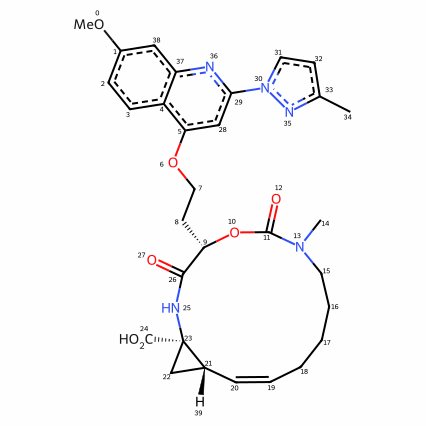 COc1ccc2c(OCC[C@@H]3OC(=O)N(C)CCCC/C=C\[C@@H]4C[C@@]4(C(=O)O)NC3=O)cc(-n3ccc(C)n3)nc2c1